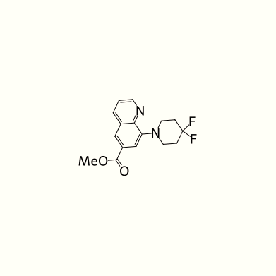 COC(=O)c1cc(N2CCC(F)(F)CC2)c2ncccc2c1